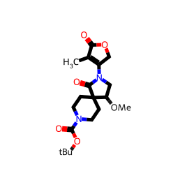 COC1CN(C2=C(C)C(=O)OC2)C(=O)C12CCN(C(=O)OC(C)(C)C)CC2